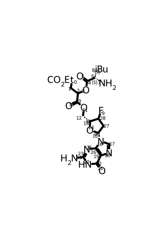 CCOC(=O)CC(OC(=O)[C@@H](N)[C@@H](C)CC)C(=O)OC[C@H]1O[C@@H](n2cnc3c(=O)[nH]c(N)nc32)CC1F